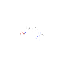 Cc1nc2c(-c3cc(Cl)cc(C)c3O[C@H]3CCCN(C(=O)OC(C)(C)C)C3)ccnc2[nH]1